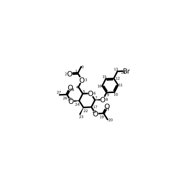 CC(=O)OCC1O[C@@H](Oc2ccc(CBr)cc2)C(OC(C)=O)[C@@H](C)[C@H]1OC(C)=O